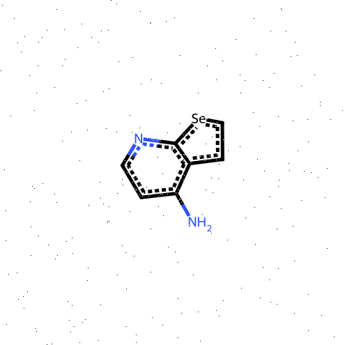 Nc1ccnc2[se]ccc12